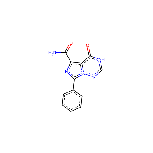 NC(=O)c1nc(-c2ccccc2)n2nc[nH]c(=O)c12